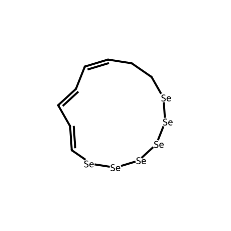 C1=C\CC[Se][Se][Se][Se][Se][Se]/C=C/C=C/1